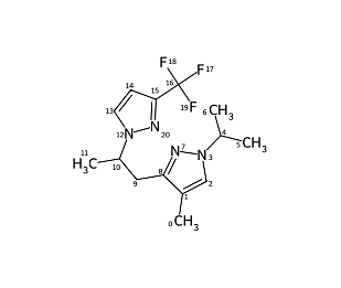 Cc1cn(C(C)C)nc1CC(C)n1ccc(C(F)(F)F)n1